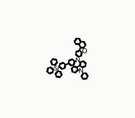 c1ccc(-n2c3ccccc3c3c(N(c4ccc(-c5ccc([Si](c6ccccc6)(c6ccccc6)c6ccccc6)cc5)cc4)c4ccc5c(c4)oc4ccc6ccccc6c45)cccc32)cc1